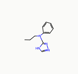 CCCN(c1ccccc1)c1nnc[nH]1